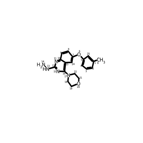 Cc1cccc(Oc2ccc3nc(NN)nc(N4CCOCC4)c3c2)c1